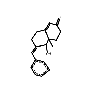 CC12CCC(=O)C=C1CC/C(=C/c1ccccc1)C2O